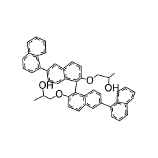 CC(O)COc1ccc2cc(-c3cccc4ccccc34)ccc2c1-c1c(OCC(C)O)ccc2cc(-c3cccc4ccccc34)ccc12